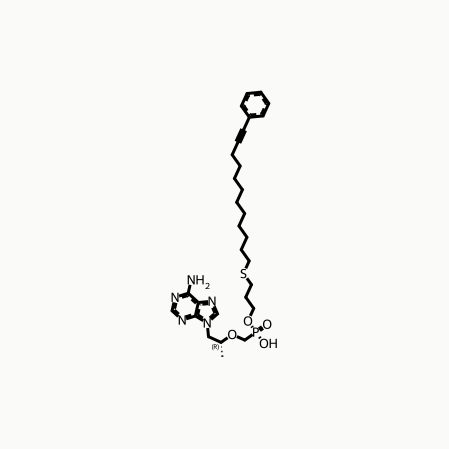 C[C@H](Cn1cnc2c(N)ncnc21)OCP(=O)(O)OCCCSCCCCCCCCCCC#Cc1ccccc1